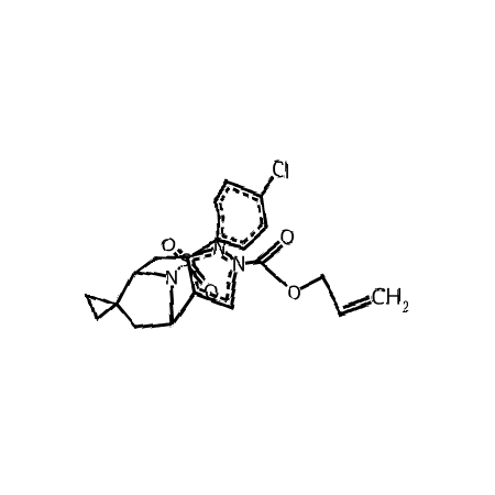 C=CCOC(=O)n1cc2c(n1)CC1N(S(=O)(=O)c3ccc(Cl)cc3)C2CC12CC2